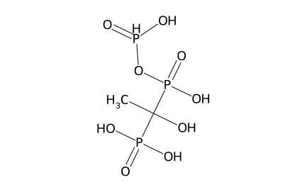 CC(O)(P(=O)(O)O)P(=O)(O)O[PH](=O)O